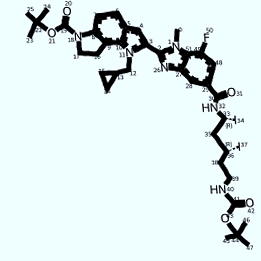 Cn1c(-c2cc3ccc4c(c3n2CC2CC2)CCN4C(=O)OC(C)(C)C)nc2cc(C(=O)N[C@H](I)C[C@H](I)CCNC(=O)OC(C)(C)C)cc(F)c21